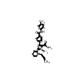 CC#CCN1CCCC[C@H]1c1nc(-c2ccc(C(=O)Nc3ccc(C)cn3)cc2)c(C(N)=O)n1N